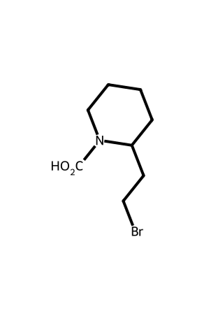 O=C(O)N1CCCCC1CCBr